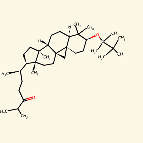 CC(C)C(=O)CC[C@@H](C)[C@H]1CC[C@@]2(C)[C@@H]3CC[C@H]4C(C)(C)[C@@H](O[Si](C)(C)C(C)(C)C)CC[C@@]45C[C@@]35CC[C@]12C